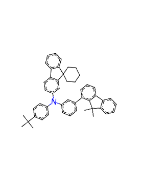 CC(C)(C)c1ccc(N(c2cccc(-c3cccc4c3C(C)(C)c3ccccc3-4)c2)c2ccc3c(c2)C2(CCCCC2)c2ccccc2-3)cc1